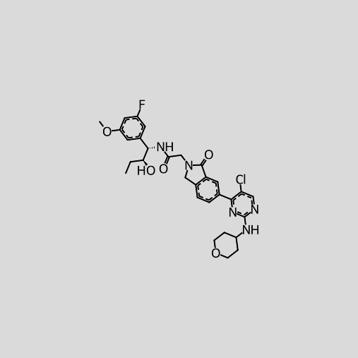 CC[C@H](O)[C@@H](NC(=O)CN1Cc2ccc(-c3nc(NC4CCOCC4)ncc3Cl)cc2C1=O)c1cc(F)cc(OC)c1